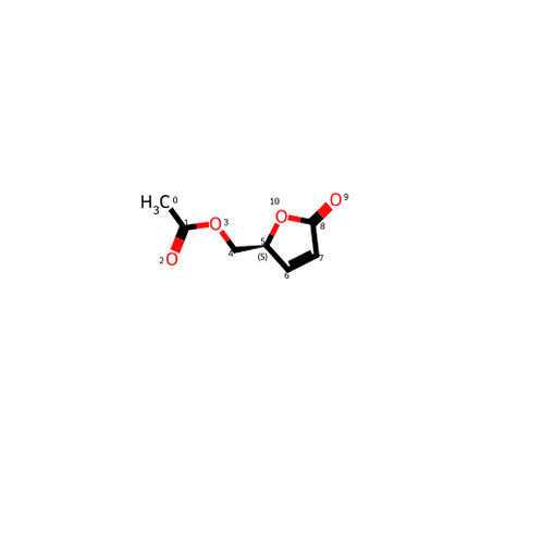 CC(=O)OC[C@@H]1C=CC(=O)O1